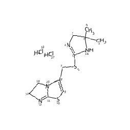 CC1(C)CN=C(SCC2=CSC3=NCCN23)N1.Cl.Cl